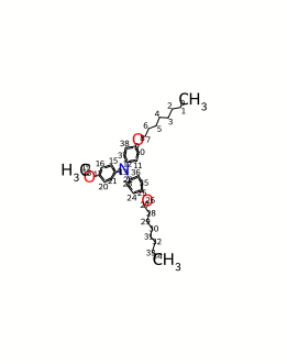 CCCCCCCCOc1ccc(N(c2ccc(OC)cc2)c2ccc(OCCCCCCCC)cc2)cc1